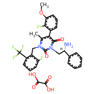 COc1cccc(-c2c(C)n(Cc3c(F)cccc3C(F)(F)F)c(=O)n(C[C@H](N)c3ccccc3)c2=O)c1F.O=C(O)C(=O)O